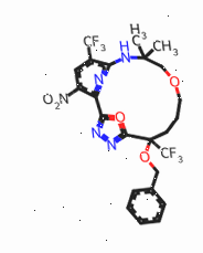 CC1(C)COCCCC(OCc2ccccc2)(C(F)(F)F)c2nnc(o2)-c2nc(c(C(F)(F)F)cc2[N+](=O)[O-])N1